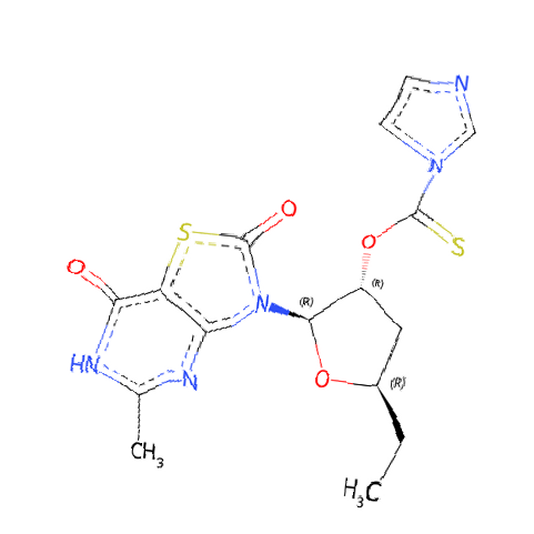 CC[C@@H]1C[C@@H](OC(=S)n2ccnc2)[C@H](n2c(=O)sc3c(=O)[nH]c(C)nc32)O1